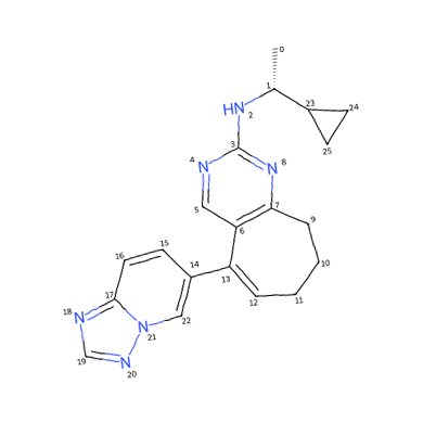 C[C@@H](Nc1ncc2c(n1)CCCC=C2c1ccc2ncnn2c1)C1CC1